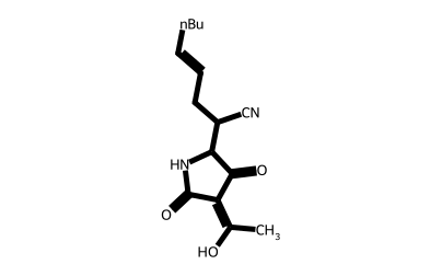 CCCCC=CCC(C#N)C1NC(=O)C(=C(C)O)C1=O